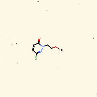 COCCn1nc(Cl)ccc1=O